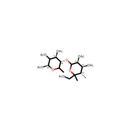 CC(=O)OCC1(C)OC(O[C@@H]2C(C)O[C@@H](OC(C)=O)C(OC(C)=O)[C@H]2OC(C)=O)[C@@H](OC(C)=O)[C@@H](OC(C)=O)[C@@H]1C